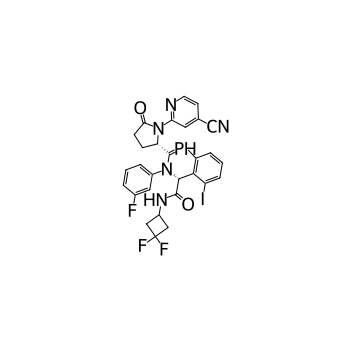 Cc1cccc(I)c1[C@H](C(=O)NC1CC(F)(F)C1)N(C(=P)[C@@H]1CCC(=O)N1c1cc(C#N)ccn1)c1cccc(F)c1